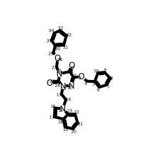 O=c1c(OCc2ccccc2)nn(CCn2ccc3ccccc32)c(=O)n1COCc1ccccc1